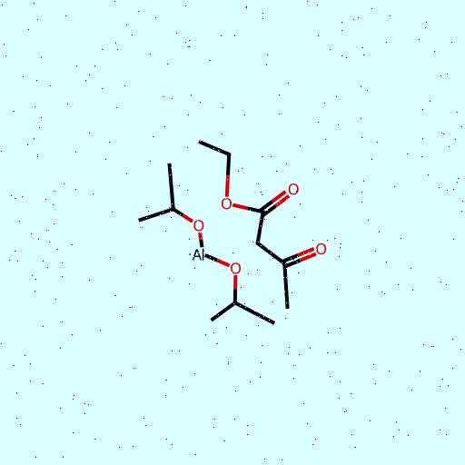 CC(C)[O][Al][O]C(C)C.CCOC(=O)CC(C)=O